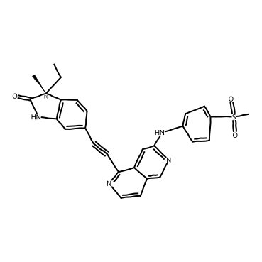 CC[C@@]1(C)C(=O)Nc2cc(C#Cc3nccc4cnc(Nc5ccc(S(C)(=O)=O)cc5)cc34)ccc21